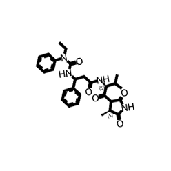 CCN(C(=O)NC(CC(=O)N[C@H](C(=O)C1C(=O)NC(=O)[C@H]1C)C(C)C)c1ccccc1)c1ccccc1